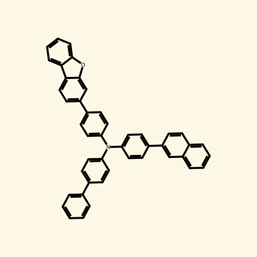 c1ccc(-c2ccc(N(c3ccc(-c4ccc5ccccc5c4)cc3)c3ccc(-c4ccc5c(c4)oc4ccccc45)cc3)cc2)cc1